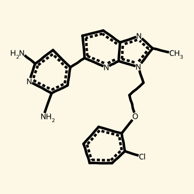 Cc1nc2ccc(-c3cc(N)nc(N)c3)nc2n1CCOc1ccccc1Cl